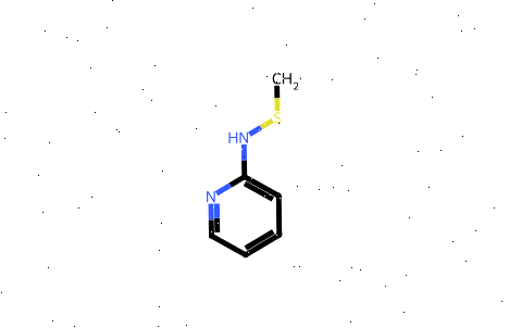 [CH2]SNc1ccccn1